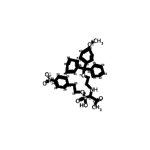 COc1ccc(C(OCCNC(C(C)=O)P(=O)(O)OCCc2ccc([N+](=O)[O-])cc2)(c2ccccc2)c2ccccc2)cc1